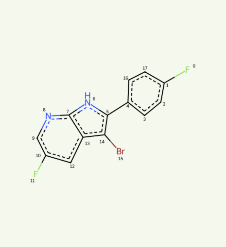 Fc1ccc(-c2[nH]c3ncc(F)cc3c2Br)cc1